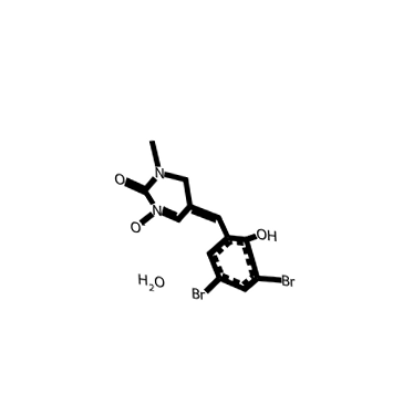 CN1CC(=Cc2cc(Br)cc(Br)c2O)C=[N+]([O-])C1=O.O